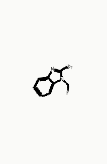 CC(C)c1nc2ccccc2n1CF